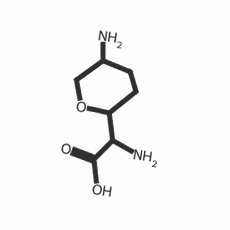 NC1CCC(C(N)C(=O)O)OC1